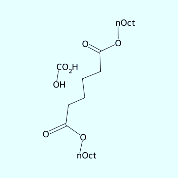 CCCCCCCCOC(=O)CCCCC(=O)OCCCCCCCC.O=C(O)O